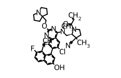 C#Cc1c(F)ccc2cc(O)cc(-c3c(Cl)cc4c(N(C)C[C@H]5N(C(=O)C=C)CCC5(C)C#N)nc(OCC56CCCN5CCC6)nc4c3F)c12